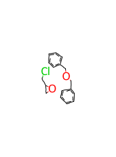 ClCC1CO1.c1ccc(COCc2ccccc2)cc1